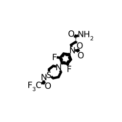 NC(=O)[C@H]1CN(c2cc(F)c(N3CCC/S(=N\C(=O)C(F)(F)F)CC3)c(F)c2)C(=O)O1